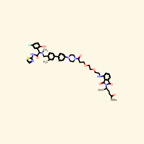 CNC(=O)CCC(C=O)N1C(=O)c2cccc(NCCOCCOCCC(=O)N3CCN(c4ccc(-c5ccc(CN(C)C(C(=O)Nc6nccs6)c6cc(F)ccc6O)c(C)c5)cc4)CC3)c2C1=O